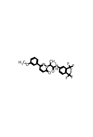 COc1cccc(-c2ccc(=O)n(C(C)C(=O)Nc3ccc(C(F)(F)F)c(C(F)(F)F)c3)n2)c1